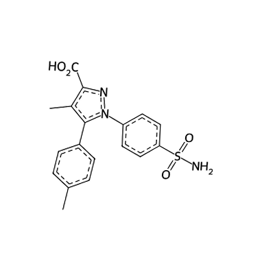 Cc1ccc(-c2c(C)c(C(=O)O)nn2-c2ccc(S(N)(=O)=O)cc2)cc1